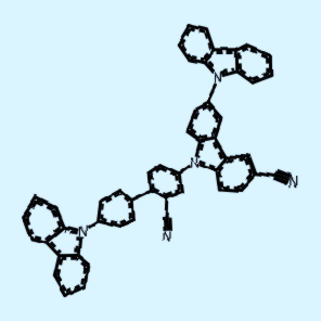 N#Cc1ccc2c(c1)c1cc(-n3c4ccccc4c4ccccc43)ccc1n2-c1ccc(-c2ccc(-n3c4ccccc4c4ccccc43)cc2)c(C#N)c1